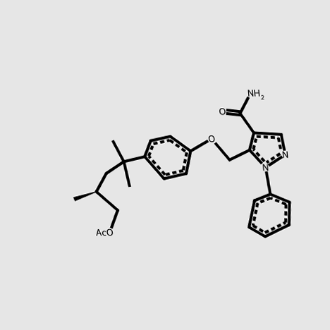 CC(=O)OC[C@@H](C)CC(C)(C)c1ccc(OCc2c(C(N)=O)cnn2-c2ccccc2)cc1